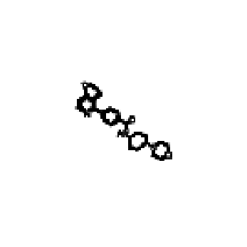 O=C(N[C@H]1CC[C@H](N2CCOCC2)CC1)c1ccc(-c2nccc3occc23)cc1